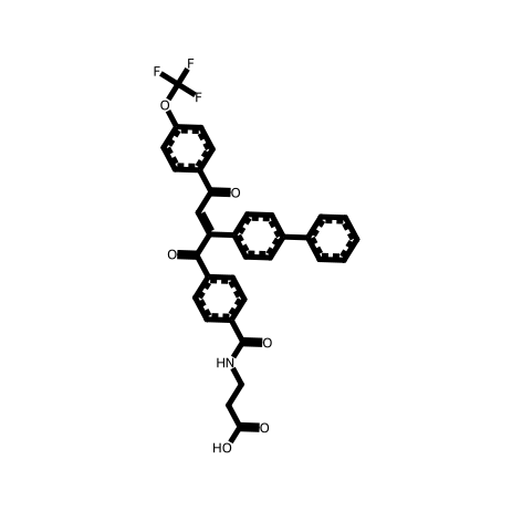 O=C(O)CCNC(=O)c1ccc(C(=O)C(=CC(=O)c2ccc(OC(F)(F)F)cc2)c2ccc(-c3ccccc3)cc2)cc1